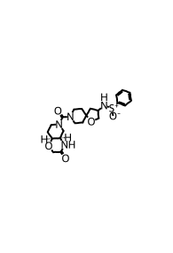 O=C1CO[C@H]2CCN(C(=O)N3CCC4(CC3)CC(N[S+]([O-])c3ccccc3)CO4)C[C@H]2N1